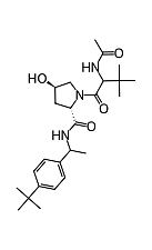 CC(=O)NC(C(=O)N1C[C@H](O)C[C@H]1C(=O)NC(C)c1ccc(C(C)(C)C)cc1)C(C)(C)C